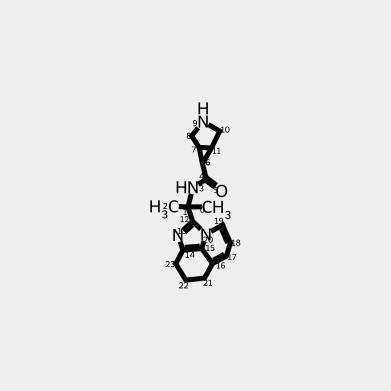 CC(C)(NC(=O)C1C2CNCC21)c1nc2c3c(cccn13)CCC2